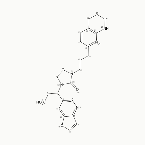 O=C(O)CC(c1cnc2ccoc2c1)N1CCN(CCCc2ccc3c(n2)NCCC3)C1=O